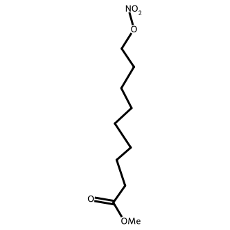 COC(=O)CCCCCCCCO[N+](=O)[O-]